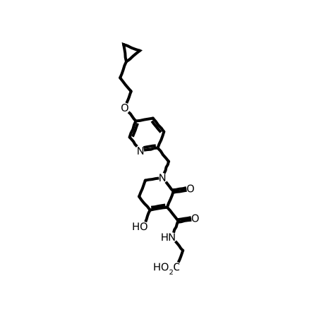 O=C(O)CNC(=O)C1=C(O)CCN(Cc2ccc(OCCC3CC3)cn2)C1=O